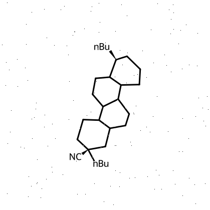 CCCC[C@H]1CCCC2C3CCC4C[C@](C#N)(CCCC)CCC4C3CCC21